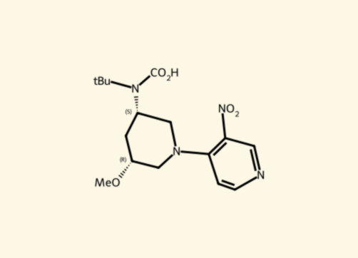 CO[C@@H]1C[C@H](N(C(=O)O)C(C)(C)C)CN(c2ccncc2[N+](=O)[O-])C1